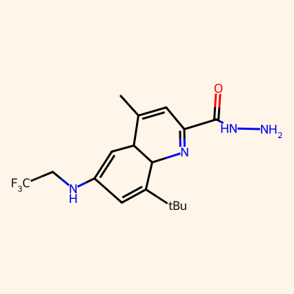 CC1=CC(C(=O)NN)=NC2C(C(C)(C)C)=CC(NCC(F)(F)F)=CC12